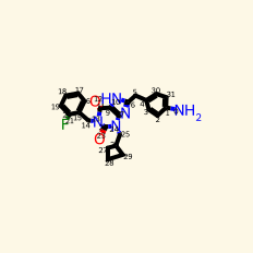 Nc1ccc(Cc2nc3c([nH]2)c(=O)n(Cc2ccccc2F)c(=O)n3CC2CCC2)cc1